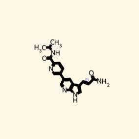 CC(C)NC(=O)c1ccc(-c2cnc3[nH]cc(/C=C/C(N)=O)c3c2)cn1